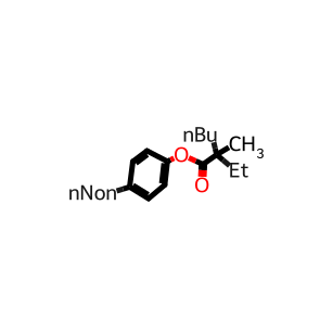 CCCCCCCCCc1ccc(OC(=O)C(C)(CC)CCCC)cc1